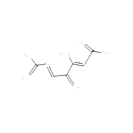 C=C(C#N)/N=C/C(=C)/C(=C/C(C)=N)NC